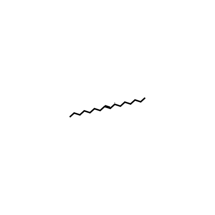 CCCCCC[CH]C=CCCCCCCC